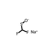 [Na+].[O-]SC(F)F